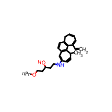 C=CC1=CC=CCc2ccc3c(c21)C(C)C#CC(NCCC(O)CCOCCC)=C3